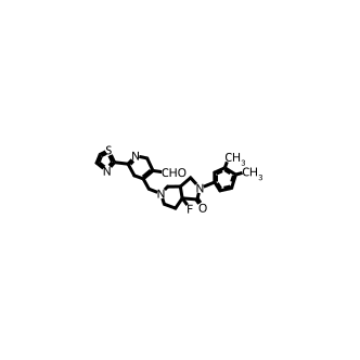 Cc1ccc(N2CC3CN(CC4=C(C=O)CN=C(c5nccs5)C4)CCC3(F)C2=O)cc1C